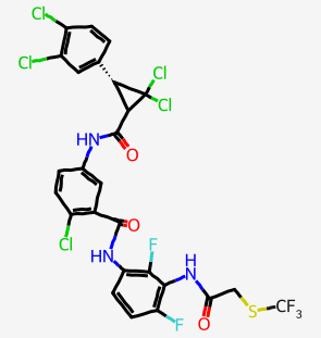 O=C(CSC(F)(F)F)Nc1c(F)ccc(NC(=O)c2cc(NC(=O)C3[C@H](c4ccc(Cl)c(Cl)c4)C3(Cl)Cl)ccc2Cl)c1F